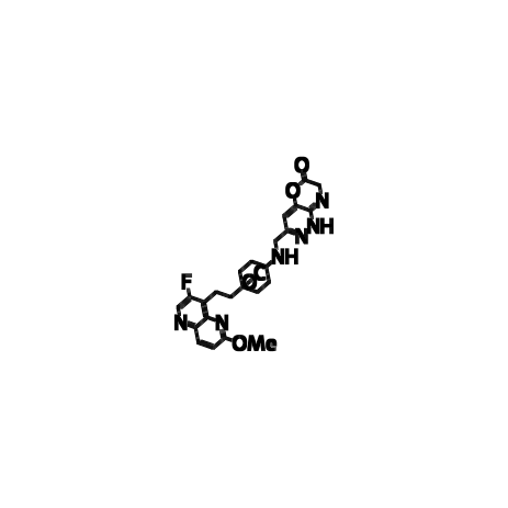 COc1ccc2ncc(F)c(CCC34CCC(NCC5=NNC6=NCC(=O)OC6=C5)(CC3)CO4)c2n1